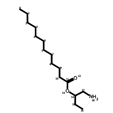 CCCCCCCCCCCC(=O)OC(CC)CN